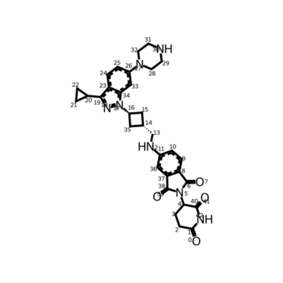 O=C1CCC(N2C(=O)c3ccc(NC[C@H]4C[C@H](n5nc(C6CC6)c6ccc(N7CCNCC7)cc65)C4)cc3C2=O)C(=O)N1